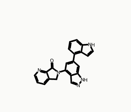 O=C1c2ncccc2CN1c1cc(-c2cccc3[nH]ccc23)cc2[nH]ncc12